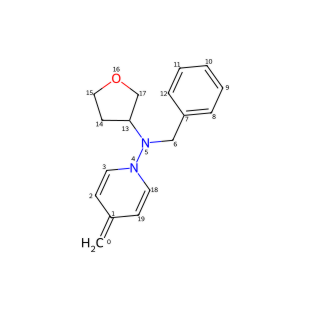 C=C1C=CN(N(Cc2ccccc2)C2CCOC2)C=C1